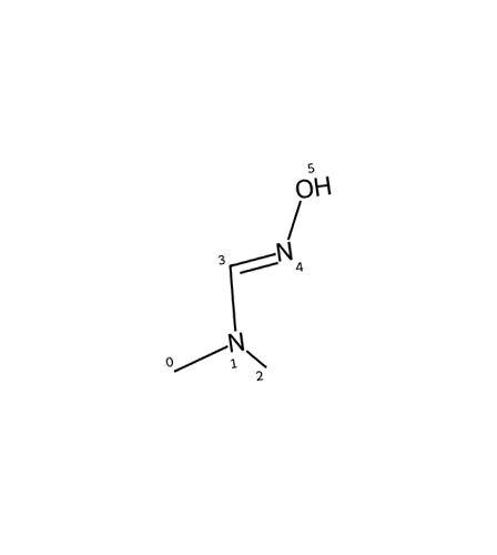 CN(C)C=NO